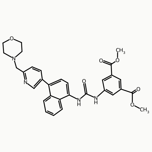 COC(=O)c1cc(NC(=O)Nc2ccc(-c3ccc(CN4CCOCC4)nc3)c3ccccc23)cc(C(=O)OC)c1